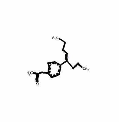 CCC/C=C(/CCC)c1ccc(C(C)=O)cc1